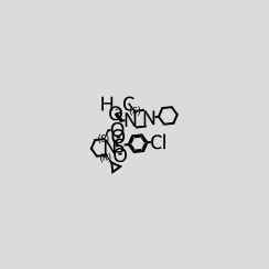 C[C@H]1CN(C2CCCCC2)CCN1C(=O)OC[C@@H]1CCC[C@H](C2CC2)N1S(=O)(=O)c1ccc(Cl)cc1